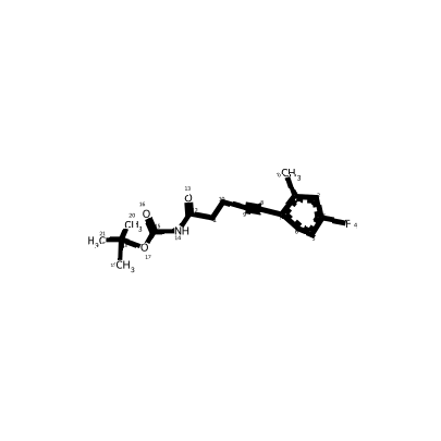 Cc1cc(F)ccc1C#CCCC(=O)NC(=O)OC(C)(C)C